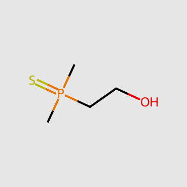 CP(C)(=S)CCO